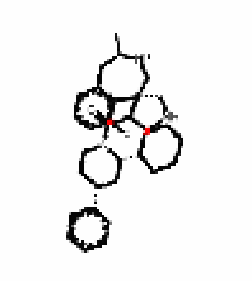 C[C@@H]1Cc2cccc(F)c2[C@@]2(CNCC2C(=O)N2CC[C@@H](c3ccccc3)C[C@H]2C2CCCCC2)CN1